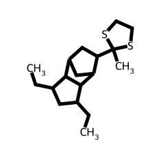 CCC1CC(CC)C2C3CC(CC3C3(C)SCCS3)C12